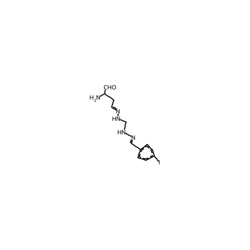 NC(C=O)C/C=N/NCN/N=C/c1ccc(I)cc1